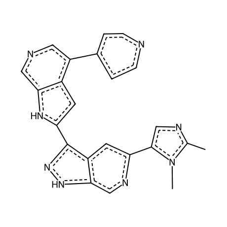 Cc1ncc(-c2cc3c(-c4cc5c(-c6ccncc6)cncc5[nH]4)n[nH]c3cn2)n1C